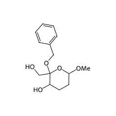 COC1CCC(O)C(CO)(OCc2ccccc2)O1